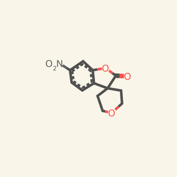 O=C1Oc2cc([N+](=O)[O-])ccc2C12CCOCC2